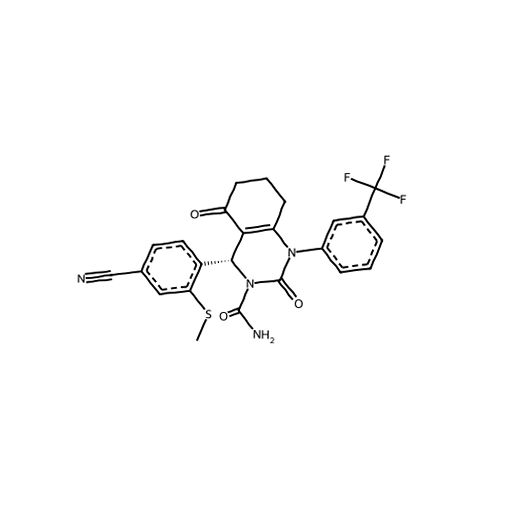 CSc1cc(C#N)ccc1[C@@H]1C2=C(CCCC2=O)N(c2cccc(C(F)(F)F)c2)C(=O)N1C(N)=O